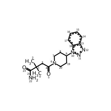 CC(C)([CH]C(=O)N1CCC(n2nnc3ccccc32)CC1)C(N)=O